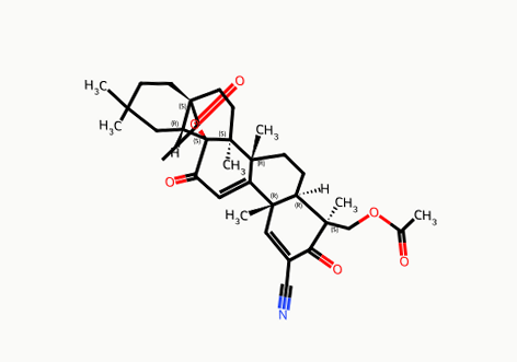 CC(=O)OC[C@@]1(C)C(=O)C(C#N)=C[C@]2(C)C3=CC(=O)[C@]45OC(=O)[C@@]6(CCC(C)(C)C[C@H]64)CC[C@@]5(C)[C@]3(C)CC[C@@H]12